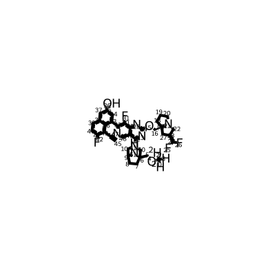 [2H]C([2H])([2H])OCC12CCC(CN(c3nc(OC[C@@]45CCCN4CC(=C(F)F)C5)nc4c(F)c(-c5cc(O)cc6ccc(F)c(C#C)c56)ncc34)C1)N2